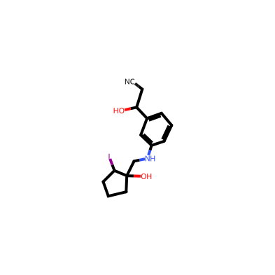 N#CCC(O)c1cccc(NCC2(O)CCCC2I)c1